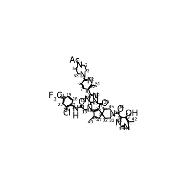 CC(=O)N1CCN(c2ccc(-c3nc4n(CC(=O)Nc5ccc(C(F)(F)F)cc5Cl)c5c(c(=O)n4n3)C3(CCN(C(=O)c4ncnc(C)c4O)CC3)CC5C)c(C)n2)CC1